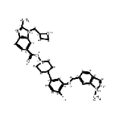 Cc1nc2ccc(C(=O)ON3CCC(c4ccc(F)c(OCc5ccc6cnn(C)c6c5)c4)CC3)cc2n1CC1CCO1